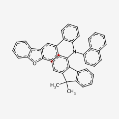 CC1(C)c2ccccc2-c2c(N(c3ccccc3-c3ccc4oc5ccccc5c4c3)c3cccc4ccccc34)cccc21